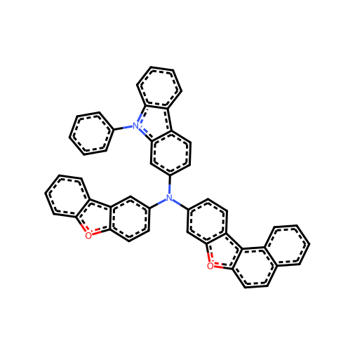 c1ccc(-n2c3ccccc3c3ccc(N(c4ccc5c(c4)oc4ccc6ccccc6c45)c4ccc5oc6ccccc6c5c4)cc32)cc1